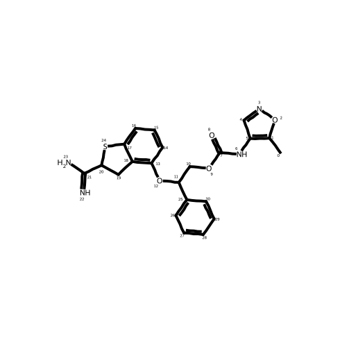 Cc1oncc1NC(=O)OCC(Oc1cccc2c1CC(C(=N)N)S2)c1ccccc1